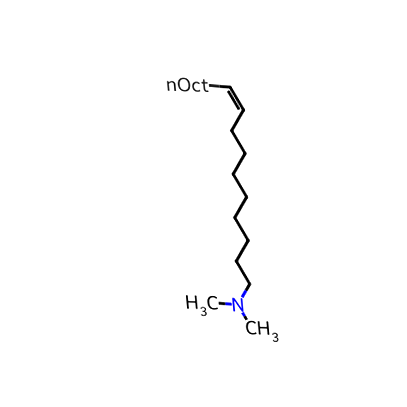 CCCCCCCC/C=C\CCCCCCCCN(C)C